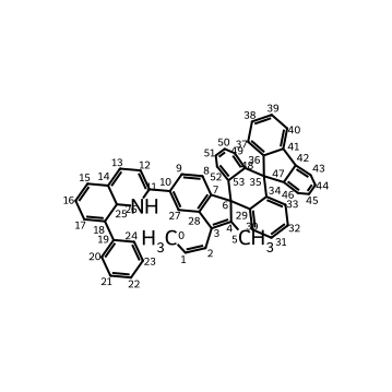 C/C=C\C1=C(C)C2(c3ccc(C4=CC=C5C=CC=C(c6ccccc6)C5N4)cc31)c1ccccc1C1(c3ccccc3-c3ccccc31)c1ccccc12